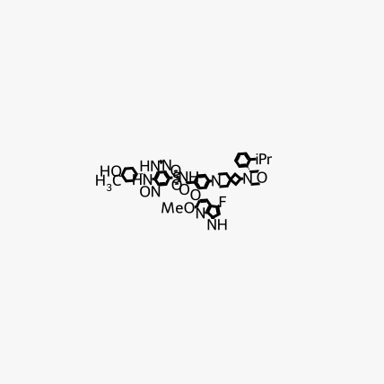 COc1nc2c(cc1Oc1cc(N3CCC4(CC3)CC(N3CCOC[C@H]3c3ccccc3C(C)C)C4)ccc1C(=O)NS(=O)(=O)c1cc(N=O)c(NC[C@H]3CC[C@](C)(O)CC3)c3[nH]cnc13)C(F)=CC2=N